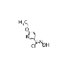 CCOc1ccc(/C(Cl)=N/O)cn1